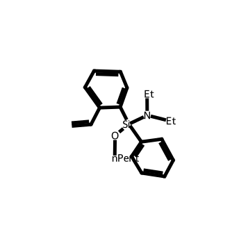 C=Cc1ccccc1[Si](OCCCCC)(c1ccccc1)N(CC)CC